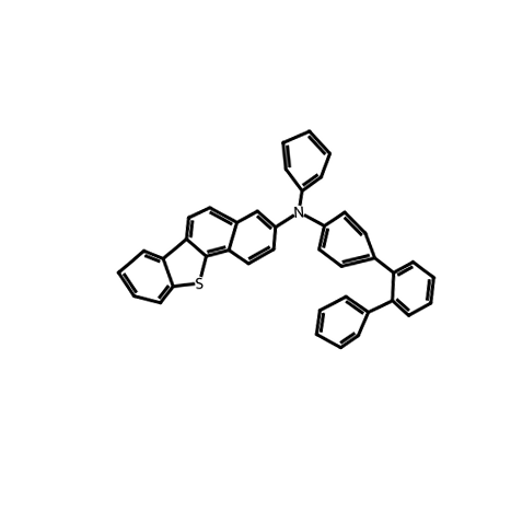 c1ccc(-c2ccccc2-c2ccc(N(c3ccccc3)c3ccc4c(ccc5c6ccccc6sc45)c3)cc2)cc1